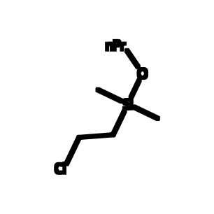 CCCO[Si](C)(C)CCCl